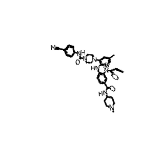 C=CC(=O)Nc1cc(C(=O)NC2CCN(C)CC2)ccc1Nc1ncc(C)cc1N1CCN(C(=O)Nc2ccc(C#N)cc2)CC1